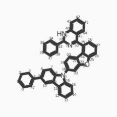 C1=CCCC(c2ccc3c(c2)c2ccccc2n3-c2ccc3c(c2)oc2cccc(C4=NC(c5ccccc5)Nc5ccccc54)c23)=C1